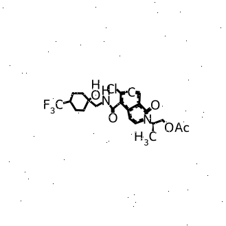 CC(=O)OC[C@@H](C)n1ccc2c(C(=O)NCC3(O)CCC(C(F)(F)F)CC3)c(Cl)ccc2c1=O